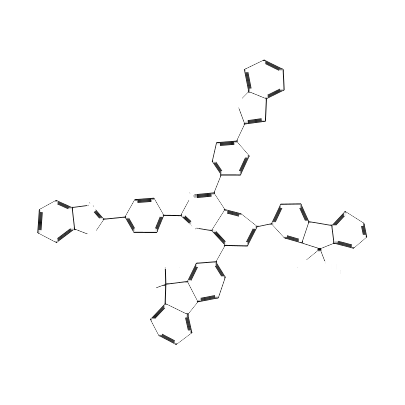 CC1(C)c2ccccc2-c2ccc(-c3cc(-c4ccc5c(c4)C(C)(C)c4ccccc4-5)c4nc(-c5ccc(-c6nc7ccccc7o6)cc5)nc(-c5ccc(-c6cc7ccccc7o6)cc5)c4c3)cc21